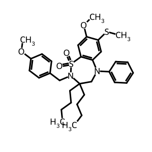 CCCCC1(CCCC)CN(c2ccccc2)c2cc(SC)c(OC)cc2S(=O)(=O)N1Cc1ccc(OC)cc1